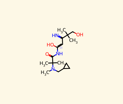 CN(CC1CC1)C(C)(C)C(=O)N/C(O)=C/C(=N)C(C)(C)CO